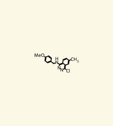 COc1ccc(CNc2nnc(Cl)c3cc(C)ccc23)cc1